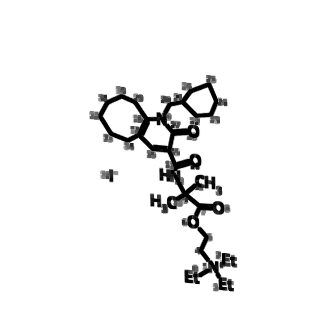 CC[N+](CC)(CC)CCOC(=O)C(C)(C)NC(=O)c1cc2c(n(CC3CCCCC3)c1=O)CCCCCC2.[I-]